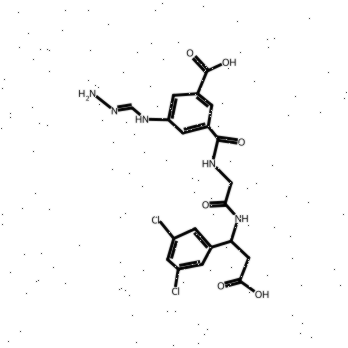 NN=CNc1cc(C(=O)O)cc(C(=O)NCC(=O)NC(CC(=O)O)c2cc(Cl)cc(Cl)c2)c1